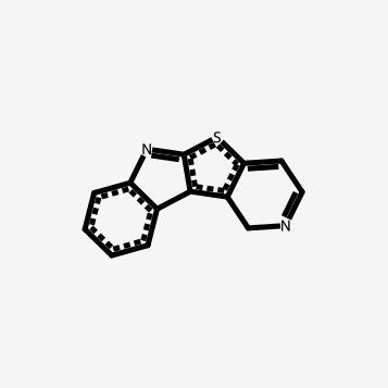 C1=NCc2c3c(sc2=C1)=Nc1ccccc1-3